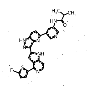 CC(C)C(=O)Nc1cncc(-c2ccc3[nH]nc(-c4cc5c(-c6ccc(F)s6)nccc5[nH]4)c3n2)c1